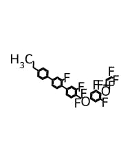 CCCc1ccc(-c2ccc(-c3ccc(C(F)(F)Oc4cc(F)c(OC(F)(F)C=C(F)F)c(F)c4)c(F)c3)c(F)c2)cc1